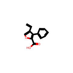 C=Cc1coc(C(=O)O)c1-c1ccccc1